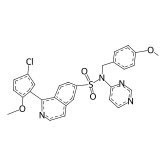 COc1ccc(CN(c2ccncn2)S(=O)(=O)c2ccc3c(-c4cc(Cl)ccc4OC)nccc3c2)cc1